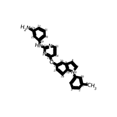 Cc1cccc(-n2ccc3cc(Oc4ccnc(Nc5cccc(N)c5)n4)ccc32)c1